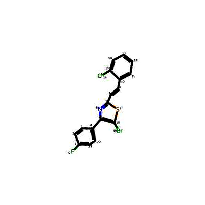 Fc1ccc(-c2nc(/C=C/c3ccccc3Cl)sc2Br)cc1